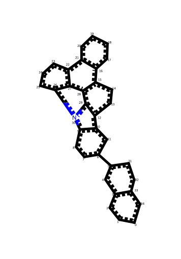 c1ccc2cc(-c3ccc4c(c3)c3ccc5c6ccccc6c6cccc7c6c5c3n47)ccc2c1